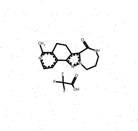 Cc1nccc2c1CCc1c-2nn2c1C(=O)NCCC2.O=C(O)C(F)(F)F